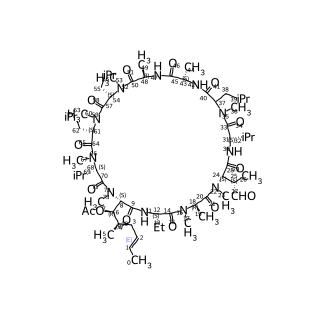 C/C=C/C[C@@H](C)[C@@H](OC(C)=O)[C@H]1C(=O)N[C@@H](CC)C(=O)N(C)[C@H](C)C(=O)N(C)[C@@H]([C@H](C)C=O)C(=O)N[C@@H](C(C)C)C(=O)N(C)C(CC(C)C)C(=O)N[C@@H](C)C(=O)N[C@H](C)C(=O)N(C)[C@@H](CC(C)C)C(=O)N(C)[C@@H](CC(C)C)C(=O)N(C)[C@@H](C(C)C)C(=O)N1C